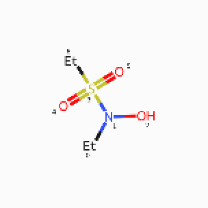 [CH2]CN(O)S(=O)(=O)CC